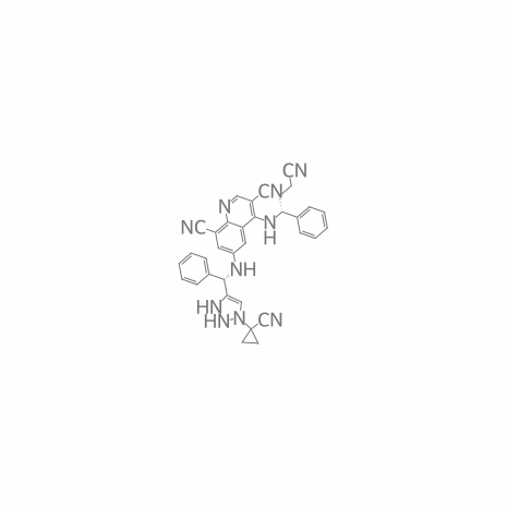 N#CCC[C@@H](Nc1c(C#N)cnc2c(C#N)cc(N[C@H](C3=CN(C4(C#N)CC4)NN3)c3ccccc3)cc12)c1ccccc1